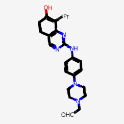 CC(C)C1=C(O)CCc2cnc(Nc3ccc(N4CCN(CC=O)CC4)cc3)nc21